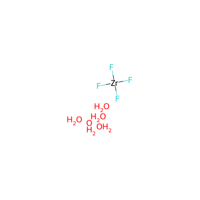 O.O.O.O.O.[F][Zr]([F])([F])[F]